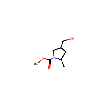 C[C@@H]1C[C@H](CO)CN1C(=O)OC(C)(C)C